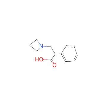 O=C(O)C(CN1CCC1)c1ccccc1